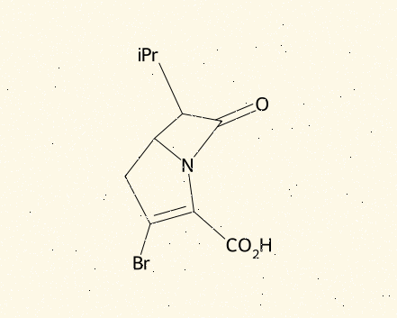 CC(C)C1C(=O)N2C(C(=O)O)=C(Br)CC12